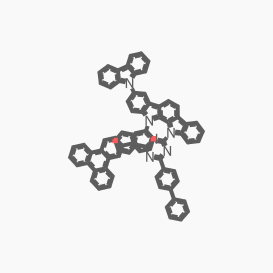 c1ccc(-c2ccc(-c3nc(-c4ccccc4)nc(-n4c5ccccc5c5ccc6c7cc(-n8c9ccccc9c9ccccc98)ccc7n(-c7cccc(-c8ccc9c%10ccccc%10c%10ccccc%10c9c8)c7)c6c54)n3)cc2)cc1